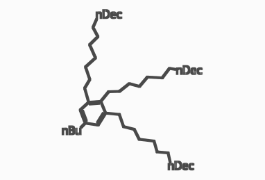 [CH2]CCCc1cc(CCCCCCCCCCCCCCCCC)c(CCCCCCCCCCCCCCCCC)c(CCCCCCCCCCCCCCCCC)c1